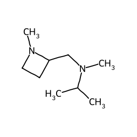 CC(C)N(C)CC1CCN1C